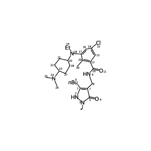 CCCCc1[nH]n(C)c(=O)c1CNC(=O)c1cc(Cl)cc(N(CC)C2CCC(N(C)C)CC2)c1C